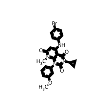 COc1cccc(-n2c(=O)n(C3CC3)c(=O)c3c(Nc4ccc(Br)cc4)cc(=O)n(C)c32)c1